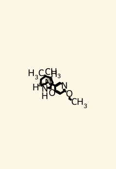 CCOc1ccc(N2C[C@@H]3CC(C)(C)[C@H]2CC(=O)N3)cn1